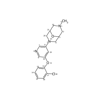 CN1CC2CN(c3cncc(Oc4ccccc4Cl)c3)CC(C1)O2